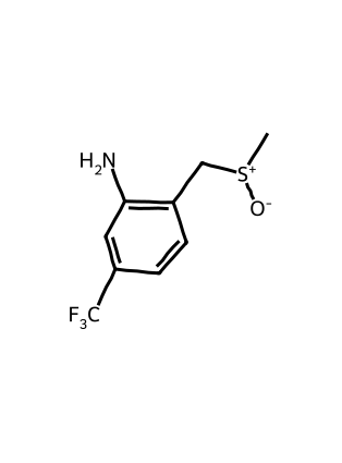 C[S+]([O-])Cc1ccc(C(F)(F)F)cc1N